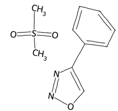 CS(C)(=O)=O.c1ccc(-c2conn2)cc1